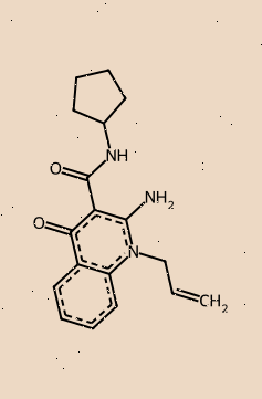 C=CCn1c(N)c(C(=O)NC2CCCC2)c(=O)c2ccccc21